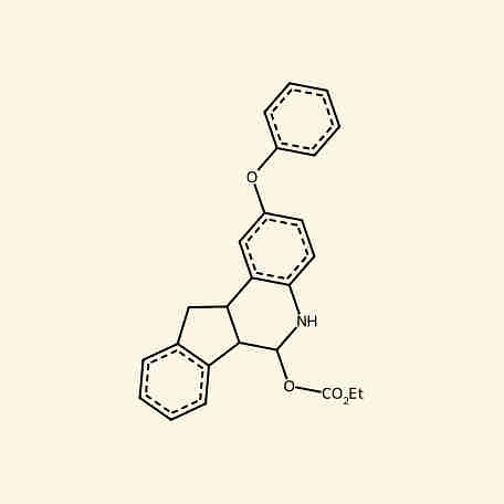 CCOC(=O)OC1Nc2ccc(Oc3ccccc3)cc2C2Cc3ccccc3C12